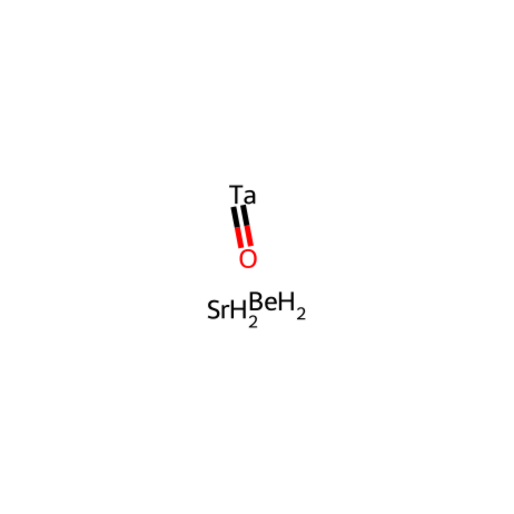 [BeH2].[O]=[Ta].[SrH2]